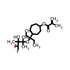 C=C(C)C(=O)OC1CCCC(C(CC)(CC)OC(C)(C)C(C)(O)C(F)(F)F)CC1